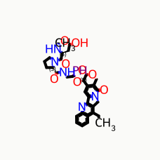 CCc1c2c(nc3ccccc13)-c1cc3c(c(=O)n1C2)COC(=O)[C@H]3OC(=P)CNC(=O)[C@@H]1CCCN1C(=O)[C@H](CC(=O)O)NC